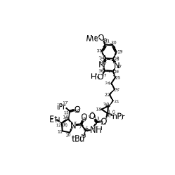 CCC[C@@]1(OC(=O)N[C@H](C(=O)N2CC[C@@H](CC)[C@H]2C(=O)C(C)C)C(C)(C)C)C[C@H]1CCCCCc1nc2ccc(OC)cc2nc1O